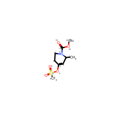 CC1C=C(OS(=O)(=O)C(F)(F)F)CCN1C(=O)OC(C)(C)C